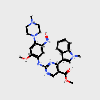 COC(=O)c1cnc(Nc2cc(N=O)c(N3CCN(C)CC3)cc2OC)nc1-c1cn(C)c2ccccc12